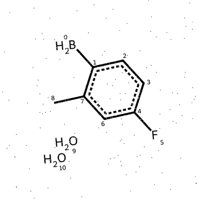 Bc1ccc(F)cc1C.O.O